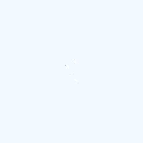 [Ni].[Sb].[Sn].[Yb]